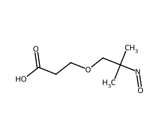 CC(C)(COCCC(=O)O)N=O